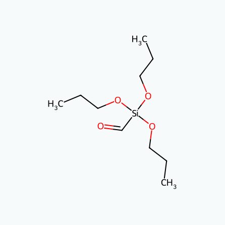 CCCO[Si](C=O)(OCCC)OCCC